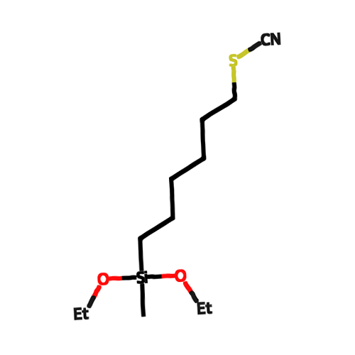 CCO[Si](C)(CCCCCCSC#N)OCC